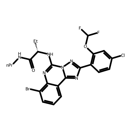 CCCNC(=O)[C@H](CC)Nc1nc2c(Br)cccc2c2nc(-c3ccc(Cl)cc3OC(F)F)nn12